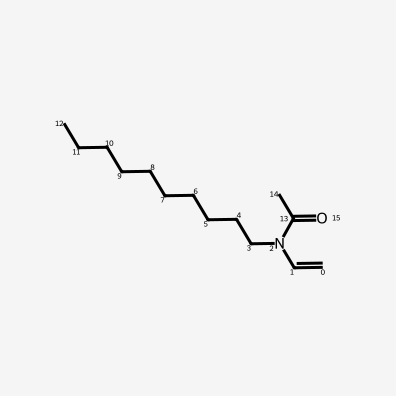 C=CN(CCCCCCCCCC)C(C)=O